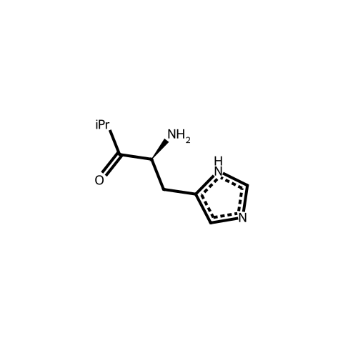 CC(C)C(=O)[C@@H](N)Cc1cnc[nH]1